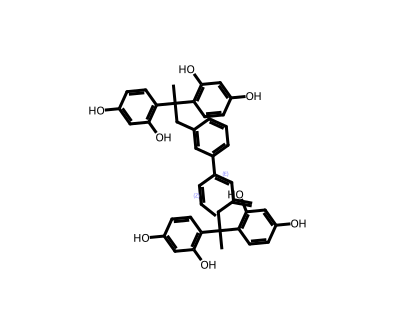 C=C(/C=C(\C=C/C)c1cccc(CC(C)(c2ccc(O)cc2O)c2ccc(O)cc2O)c1)CC(C)(c1ccc(O)cc1O)c1ccc(O)cc1O